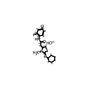 CN1C(=NC2CCCCC2)SCC1CC(=O)Nc1ccc(Cl)cc1F.Cl